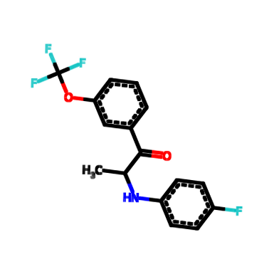 CC(Nc1ccc(F)cc1)C(=O)c1cccc(OC(F)(F)F)c1